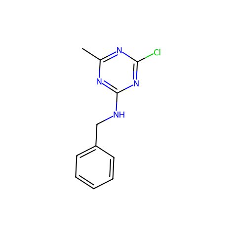 Cc1nc(Cl)nc(NCc2ccccc2)n1